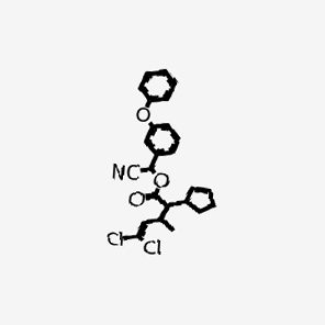 CC(C=C(Cl)Cl)C(C(=O)OC(C#N)c1cccc(Oc2ccccc2)c1)C1C=CCC1